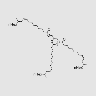 CCCCCCC(C)C/C=C\CCCCCCCC(=O)OCC(COC(=O)CCCCCCC/C=C\CC(C)CCCCCC)OC(=O)CCCCCCC/C=C\CC(C)CCCCCC